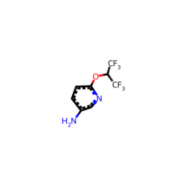 Nc1ccc(OC(C(F)(F)F)C(F)(F)F)nc1